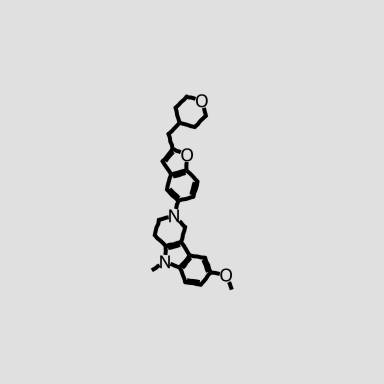 COc1ccc2c(c1)c1c(n2C)CCN(c2ccc3oc(CC4CCOCC4)cc3c2)C1